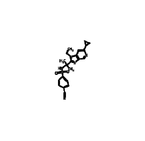 CCn1c(C(C)(C)NS(=O)(=O)c2ccc(C#N)cc2)nc2cnc(C3CC3)cc21